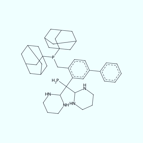 PC(c1cc(-c2ccccc2)ccc1CP(C12CC3CC(CC(C3)C1)C2)C12CC3CC(CC(C3)C1)C2)(C1NCCCN1)C1NCCCN1